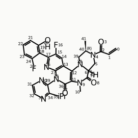 C=CC(=O)N1C[C@@H]2C(=O)N(C)c3c(c4cc(F)c(-c5c(O)cccc5F)nc4n(-c4nccnc4C(C)C)c3=O)N2C[C@H]1C